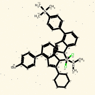 CC1=Cc2c(-c3ccc([Si](C)(C)C)cc3)cccc2[CH]1[Zr]([Cl])([Cl])([CH]1C(C2CCCCC2)=Cc2c(-c3ccc(C(C)(C)C)cc3)cccc21)[SiH](C)C